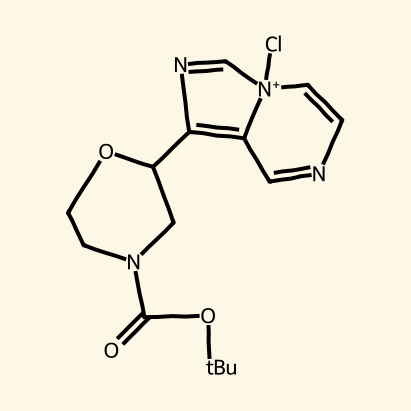 CC(C)(C)OC(=O)N1CCOC(C2=C3C=NC=C[N+]3(Cl)C=N2)C1